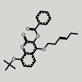 CCC=CCCOc1c(OC(=O)c2ccccc2)c(=O)oc2c(OC(C)(C)C)cccc12